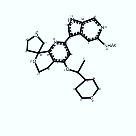 CC(=O)Nc1cc2c(-c3cc(OC(C)C4CCOCC4)c4c(n3)C3(CCOC3)OCC4)c[nH]c2cn1